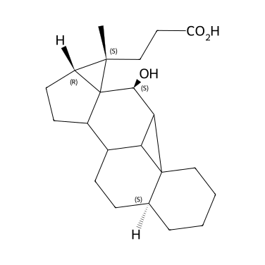 C[C@]1(CCC(=O)O)[C@H]2CCC3C4CC[C@@H]5CCCCC56C4C6[C@H](O)C321